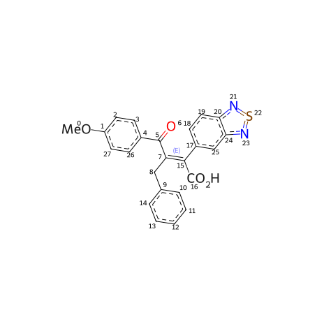 COc1ccc(C(=O)/C(Cc2ccccc2)=C(/C(=O)O)c2ccc3nsnc3c2)cc1